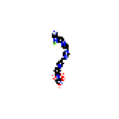 O=C1CCC(N2C(=O)c3ccc(N4CCC(CCN5CCN(CC6CCN(c7ccc8c9cnccc9n(C(F)F)c8c7)CC6)CC5)CC4)cc3C2=O)C(=O)N1